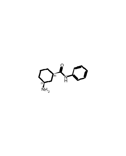 N[C@H]1CCC[C@@H](C(=O)Nc2ccccc2)C1